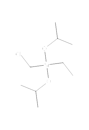 CC[Si](CCl)(OC(C)C)OC(C)C